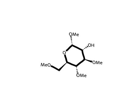 COC[C@H]1O[C@H](OC)[C@H](O)[C@@H](OC)[C@@H]1OC